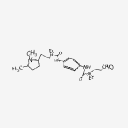 CCN(CCC=O)C(=O)Nc1ccc(NC(=O)N(CC)CCC2CCC(C)N2C)cc1